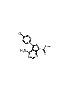 COC(=O)n1nc(-c2ccc(Cl)cc2)c2c(N)ncnc21